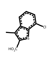 Cc1c(C(=O)O)sc2c(Cl)cccc12